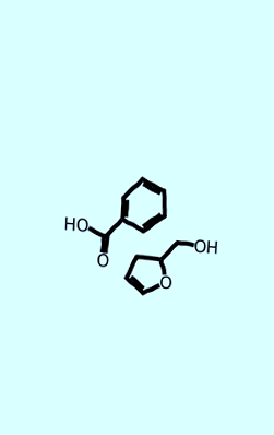 O=C(O)c1ccccc1.OCC1CC=CO1